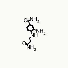 NC(=O)CCNc1ccc(C(N)=O)cc1N